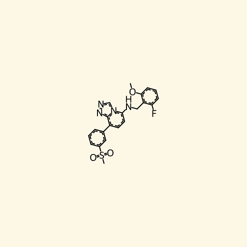 COc1cccc(F)c1CNc1ccc(-c2cccc(S(C)(=O)=O)c2)c2nncn12